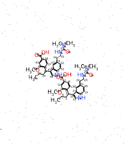 CCCC(c1ccc(C(=O)O)cc1OC)c1c[nH]c2ccc(CCNC(=O)N(C)C)cc12.CCCC(c1ccc(C(=O)O)cc1OC)c1c[nH]c2ccc(CCNC(=O)N(C)C)cc12